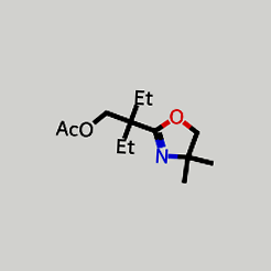 CCC(CC)(COC(C)=O)C1=NC(C)(C)CO1